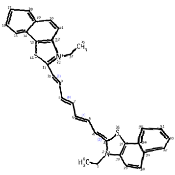 CCN1/C(=C/C=C/C=C/C=C/c2sc3c4ccccc4ccc3[n+]2CC)Sc2c1ccc1ccccc21